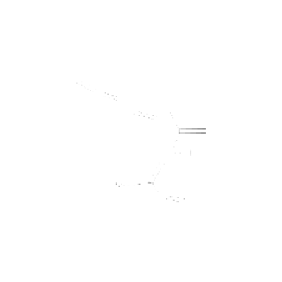 C=C.C=C(C)C(=O)O.C=C=C.C=CC(=O)OC